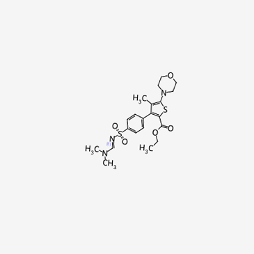 CCOC(=O)c1sc(N2CCOCC2)c(C)c1-c1ccc(S(=O)(=O)/N=C/N(C)C)cc1